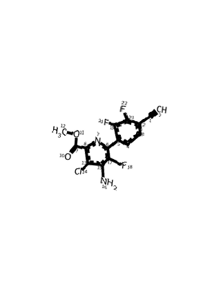 C#Cc1ccc(-c2nc(C(=O)OC)c(Cl)c(N)c2F)c(F)c1F